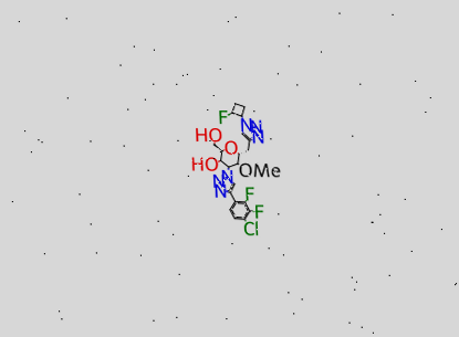 CO[C@@H]1[C@@H](n2cc(-c3ccc(Cl)c(F)c3F)nn2)[C@@H](O)[C@@H](CO)O[C@@H]1Cc1cn([C@@H]2CC[C@@H]2F)nn1